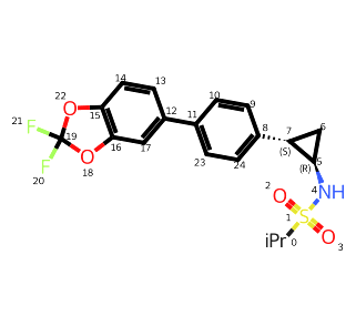 CC(C)S(=O)(=O)N[C@@H]1C[C@H]1c1ccc(-c2ccc3c(c2)OC(F)(F)O3)cc1